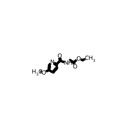 CCOC(=O)CNC(=O)c1ccc(OC)cn1